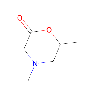 CC1CN(C)CC(=O)O1